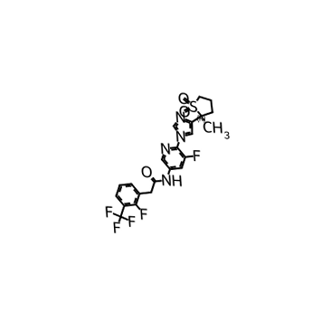 C[C@]1(c2cn(-c3ncc(NC(=O)Cc4cccc(C(F)(F)F)c4F)cc3F)cn2)CCCS1(=O)=O